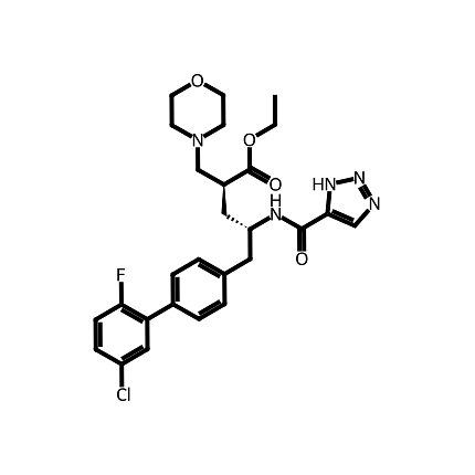 CCOC(=O)[C@@H](C[C@@H](Cc1ccc(-c2cc(Cl)ccc2F)cc1)NC(=O)c1cnn[nH]1)CN1CCOCC1